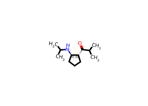 CC(C)N[C@@H]1CCC[C@H]1C(=O)C(C)C